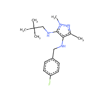 Cc1nn(C)c(NCC(C)(C)C)c1NCc1ccc(F)cc1